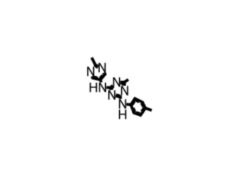 Cc1ccc(Nc2nc(C)nc(Nc3cnc(C)nc3)n2)cc1